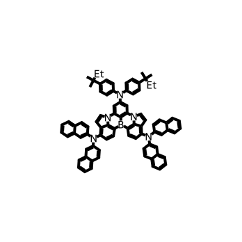 CCC(C)(C)c1ccc(N(c2ccc(C(C)(C)CC)cc2)c2cc3c4c(c2)-n2ccc5c(N(c6ccc7ccccc7c6)c6ccc7ccccc7c6)ccc(c52)B4c2ccc(N(c4ccc5ccccc5c4)c4ccc5ccccc5c4)c4ccn-3c24)cc1